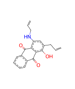 C=CCNc1cc(CC=C)c(O)c2c1C(=O)c1ccccc1C2=O